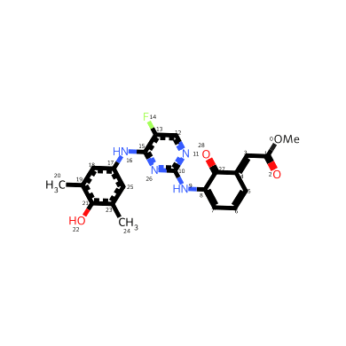 COC(=O)C=C1C=CC=C(Nc2ncc(F)c(Nc3cc(C)c(O)c(C)c3)n2)C1=O